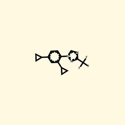 FC(F)(F)c1ncn(-c2ccc(C3CC3)cc2C2CC2)n1